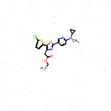 CCOC(=O)Cc1nc(-c2ccc(N(C)C3CC3)nc2)oc1-c1ccc(Cl)s1